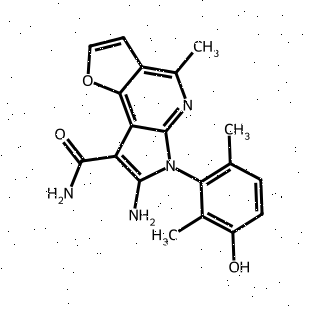 Cc1ccc(O)c(C)c1-n1c(N)c(C(N)=O)c2c3occc3c(C)nc21